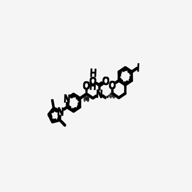 Cc1ccc(C)n1-c1ccc([C@@H](O)CN(C[C@H]2CCc3cc(I)ccc3O2)C(=O)O)cn1